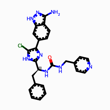 Nc1n[nH]c2cc(-c3nc([C@H](Cc4ccccc4)NC(=O)NCc4ccncc4)[nH]c3Cl)ccc12